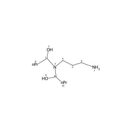 CCCC(O)N(CCCN)C(O)CCC